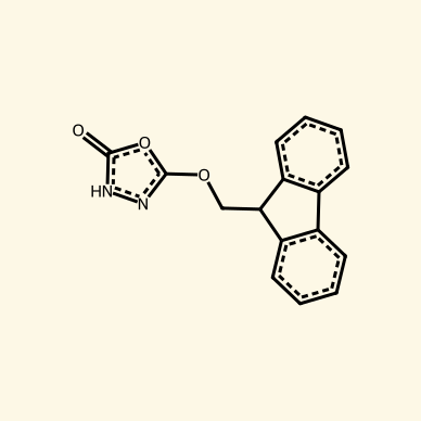 O=c1[nH]nc(OCC2c3ccccc3-c3ccccc32)o1